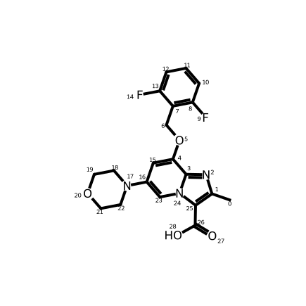 Cc1nc2c(OCc3c(F)cccc3F)cc(N3CCOCC3)cn2c1C(=O)O